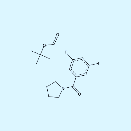 CC(C)(C)OC=O.O=C(c1cc(F)cc(F)c1)N1CCCC1